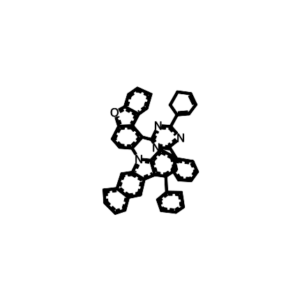 C1=CCCC(c2nc(-c3ccccc3)nc(-c3c(-n4c5cc6ccccc6cc5c5c(-c6ccccc6)cccc54)ccc4oc5ccccc5c34)n2)=C1